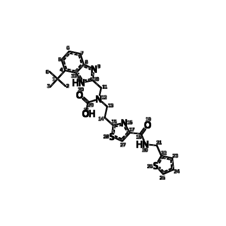 CC(C)(C)c1cccc2nc(CN(CCc3nc(C(=O)NCc4cccs4)cs3)C(=O)O)[nH]c12